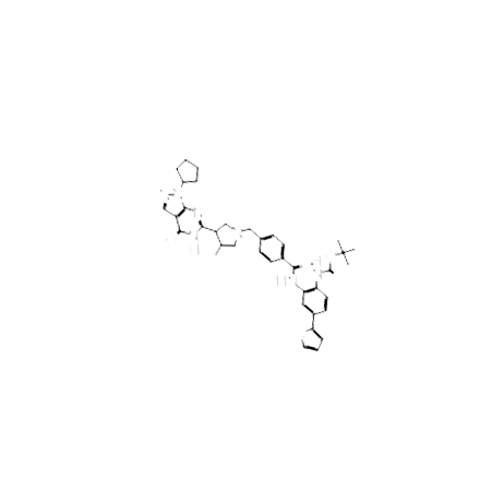 CC1CN(Cc2ccc(C(=O)Nc3cc(-c4cccs4)ccc3NC(=O)OC(C)(C)C)cc2)CC1c1nc2c(cnn2C2CCCC2)c(=O)[nH]1